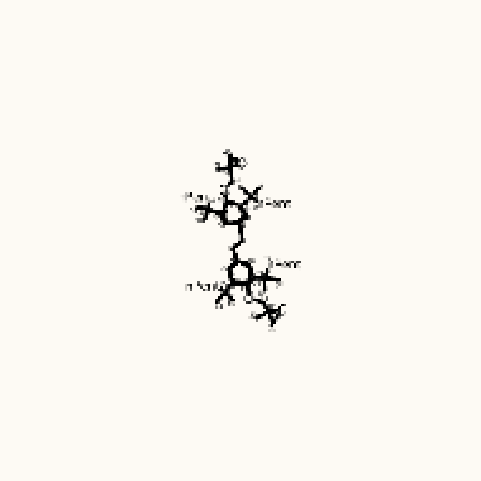 CCCCCC(C)(C)c1cc(CCc2cc(C(C)(C)CCCCC)c(OCC3(C)CO3)c(C(C)(C)CCCCC)c2)cc(C(C)(C)CCCCC)c1OCC1(C)CO1